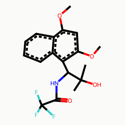 COc1cc(OC)c2ccccc2c1C(NC(=O)C(F)(F)F)C(C)(C)O